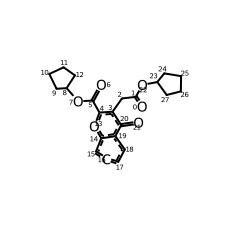 O=C(Cc1c(C(=O)OC2CCCC2)oc2ccccc2c1=O)OC1CCCC1